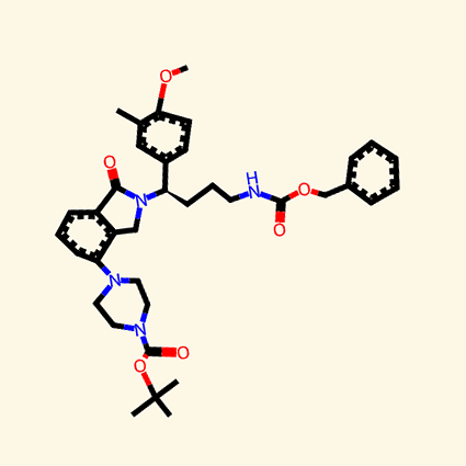 COc1ccc([C@@H](CCCNC(=O)OCc2ccccc2)N2Cc3c(cccc3N3CCN(C(=O)OC(C)(C)C)CC3)C2=O)cc1C